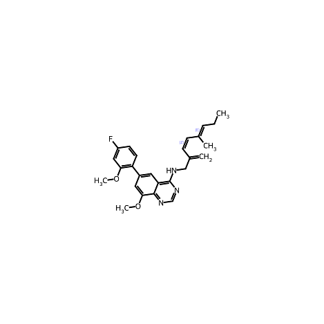 C=C(/C=C\C(C)=C\CC)CNc1ncnc2c(OC)cc(-c3ccc(F)cc3OC)cc12